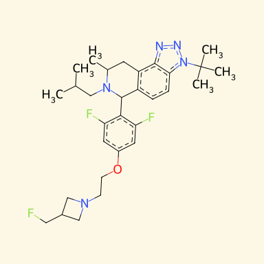 CC(C)CN1C(C)Cc2c(ccc3c2nnn3C(C)(C)C)C1c1c(F)cc(OCCN2CC(CF)C2)cc1F